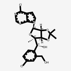 CC1(C)O[C@H]2[C@H](n3ccc4c(Cl)ncnc43)O[C@](C)([C@H](O)c3ccc(Cl)cc3CO)[C@H]2O1